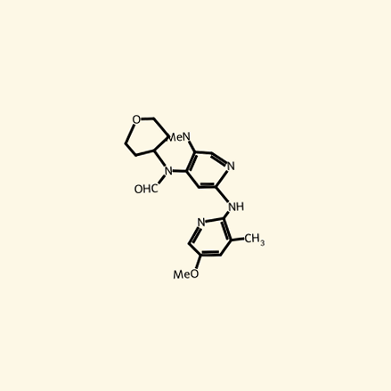 CNc1cnc(Nc2ncc(OC)cc2C)cc1N(C=O)C1CCOCC1